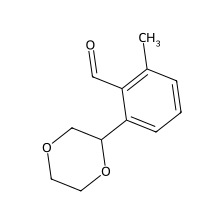 Cc1cccc(C2COCCO2)c1C=O